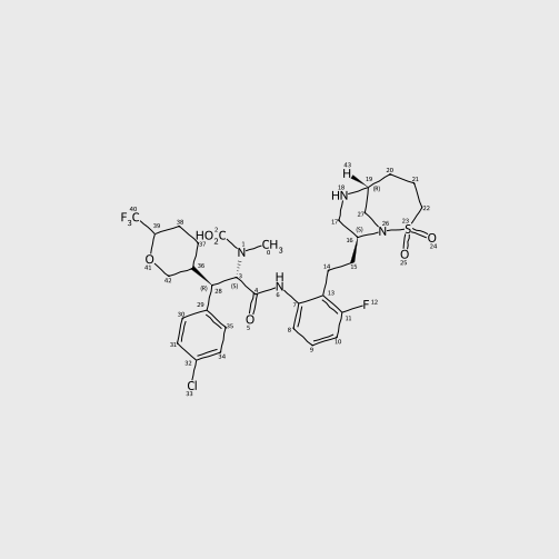 CN(C(=O)O)[C@H](C(=O)Nc1cccc(F)c1CC[C@H]1CN[C@@H]2CCCS(=O)(=O)N1C2)[C@@H](c1ccc(Cl)cc1)C1CCC(C(F)(F)F)OC1